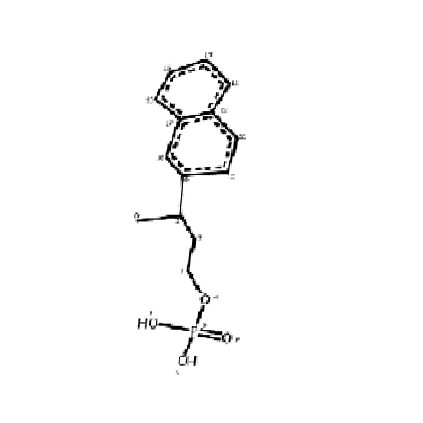 CC(CCOP(=O)(O)O)c1ccc2ccccc2c1